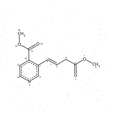 COC(=O)C/C=C/c1cnccc1C(=O)OC